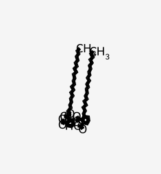 CCCCCCCCCCCCCCCCCCCCCCOC(=O)c1ccccc1C(=O)O.CCCCCCCCCCCCCCCCCCCCCCc1cccc(C(=O)O)c1C(=O)O